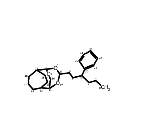 [CH2]CCC(CC[C]1OC2CCC(O1)C1CCCC2CC1)c1ccccc1